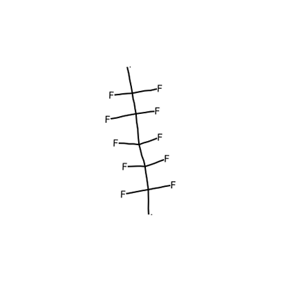 [CH2]C(F)(F)C(F)(F)C(F)(F)C(F)(F)C([CH2])(F)F